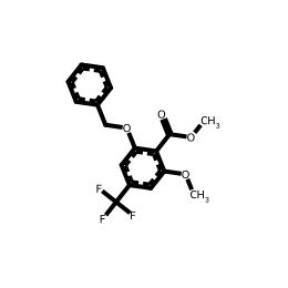 COC(=O)c1c(OC)cc(C(F)(F)F)cc1OCc1ccccc1